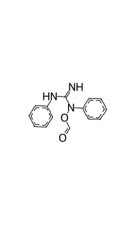 N=C(Nc1ccccc1)N(OC=O)c1ccccc1